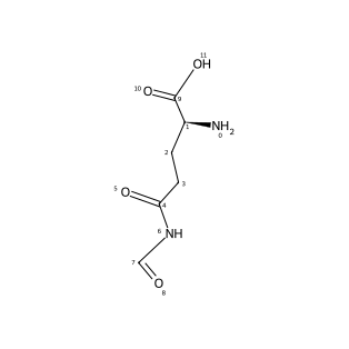 N[C@@H](CCC(=O)NC=O)C(=O)O